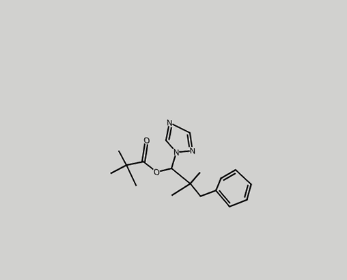 CC(C)(C)C(=O)OC(n1cncn1)C(C)(C)Cc1ccccc1